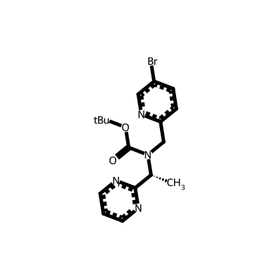 C[C@H](c1ncccn1)N(Cc1ccc(Br)cn1)C(=O)OC(C)(C)C